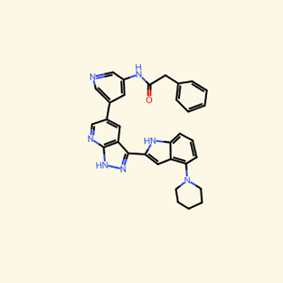 O=C(Cc1ccccc1)Nc1cncc(-c2cnc3[nH]nc(-c4cc5c(N6CCCCC6)cccc5[nH]4)c3c2)c1